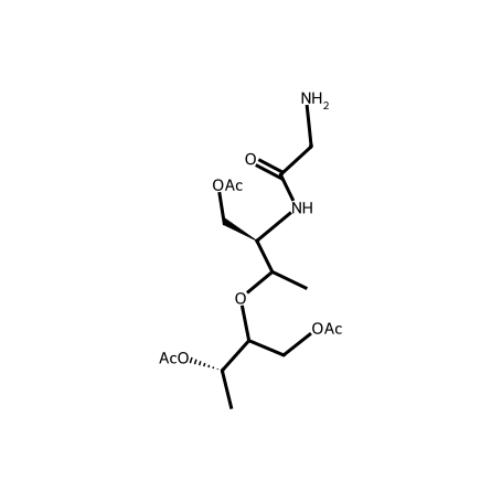 CC(=O)OCC(OC(C)[C@@H](COC(C)=O)NC(=O)CN)[C@H](C)OC(C)=O